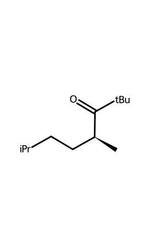 CC(C)CC[C@H](C)C(=O)C(C)(C)C